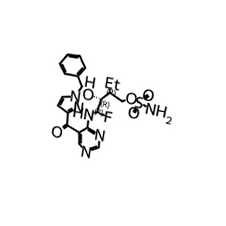 CC[C@H](COS(N)(=O)=O)[C@@H](O)[C@@H](F)Nc1ncncc1C(=O)c1ccn(Cc2ccccc2)n1